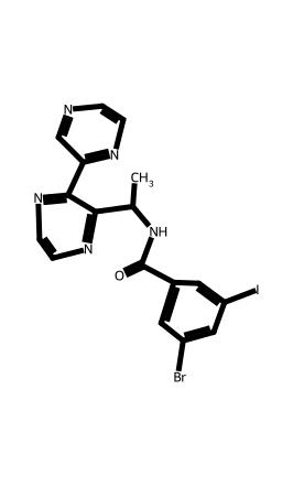 CC(NC(=O)c1cc(Br)cc(I)c1)c1nccnc1-c1cnccn1